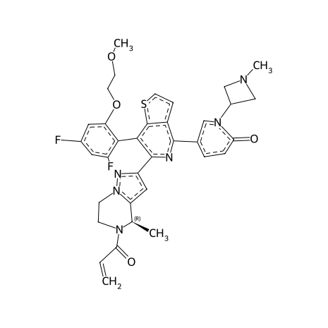 C=CC(=O)N1CCn2nc(-c3nc(-c4ccc(=O)n(C5CN(C)C5)c4)c4ccsc4c3-c3c(F)cc(F)cc3OCCOC)cc2[C@H]1C